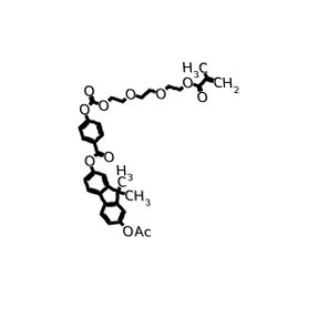 C=C(C)C(=O)OCCOCCOCCOC(=O)Oc1ccc(C(=O)Oc2ccc3c(c2)C(C)(C)c2cc(OC(C)=O)ccc2-3)cc1